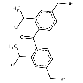 CC(C)Cc1ccc(C(=O)c2ccc(CC(C)C)cc2C(C)Cl)c(C(C)Cl)c1